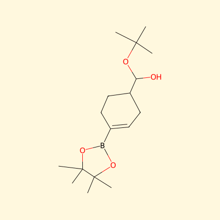 CC(C)(C)OC(O)C1CC=C(B2OC(C)(C)C(C)(C)O2)CC1